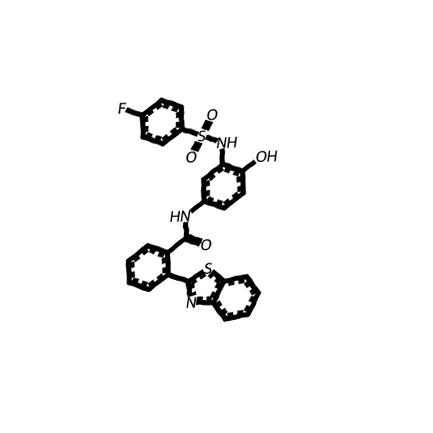 O=C(Nc1ccc(O)c(NS(=O)(=O)c2ccc(F)cc2)c1)c1ccccc1-c1nc2ccccc2s1